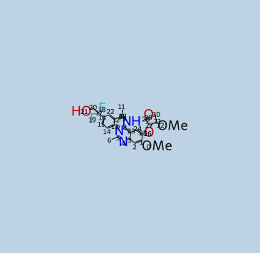 COc1cc2nc(C)nc(N[C@H](C)c3cccc(C(F)(F)CO)c3)c2cc1OC1COCC1OC